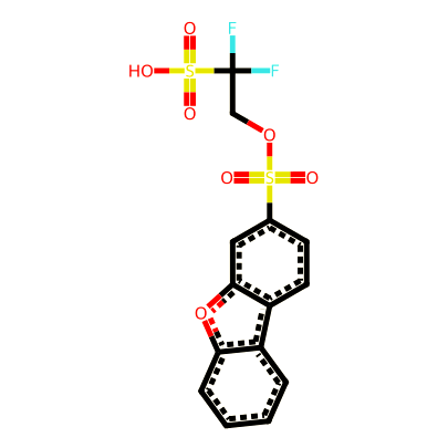 O=S(=O)(OCC(F)(F)S(=O)(=O)O)c1ccc2c(c1)oc1ccccc12